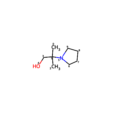 CC(C)(CO)N1CCCC1